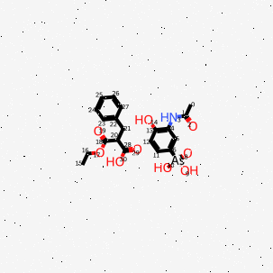 CC(=O)Nc1cc([As](=O)(O)O)ccc1O.CCOC(=O)C(Cc1ccccc1)C(=O)O